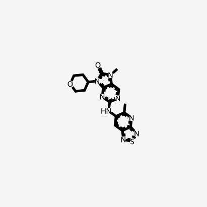 Cc1nc2nsnc2cc1Nc1ncc2c(n1)n(C1CCOCC1)c(=O)n2C